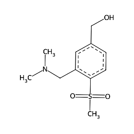 CN(C)Cc1cc(CO)ccc1S(C)(=O)=O